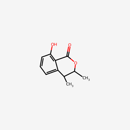 CC1OC(=O)c2c(O)cccc2C1C